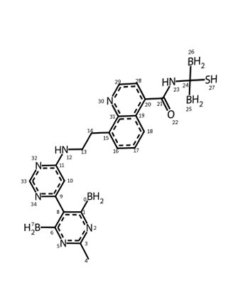 Bc1nc(C)nc(B)c1-c1cc(NCCc2cccc3c(C(=O)NC(B)(B)S)ccnc23)ncn1